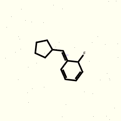 FC1[C]=CC=C/C1=C\C1CCCC1